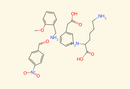 COc1ccccc1CN.NCCCCC(N)C(=O)O.O=C(O)Cc1ccccc1.O=Cc1ccc([N+](=O)[O-])cc1